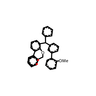 COc1ccccc1-c1cccc(C(c2ccccc2)c2cccc(-c3ccccc3)c2OCc2ccccc2)c1